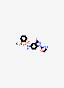 O=[N+]([O-])c1ccccc1S(=O)(=O)Nc1ccc2c(c1)c(I)nn2C1NCCO1